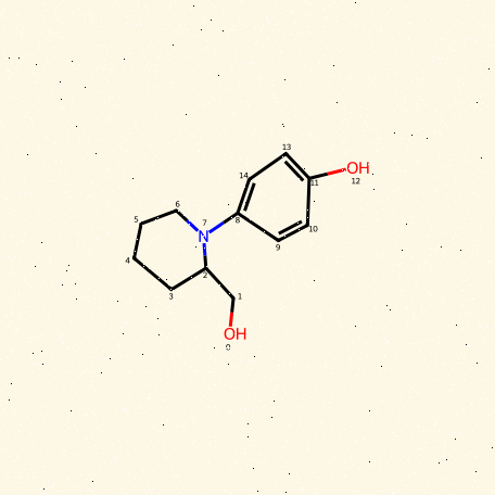 OCC1CCCCN1c1ccc(O)cc1